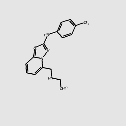 O=CCNCc1cccc2nc(Nc3ccc(C(F)(F)F)cc3)nn12